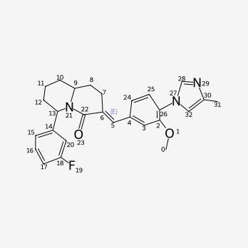 COc1cc(/C=C2\CCC3CCCC(c4cccc(F)c4)N3C2=O)ccc1-n1cnc(C)c1